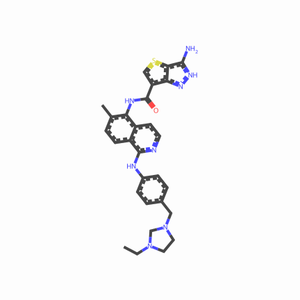 CCN1CCN(Cc2ccc(Nc3nccc4c(NC(=O)c5csc6c(N)[nH]nc56)c(C)ccc34)cc2)C1